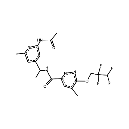 CC(=O)Nc1cc(C(C)NC(=O)c2cc(C)c(OCC(F)(F)C(F)F)nn2)cc(C)n1